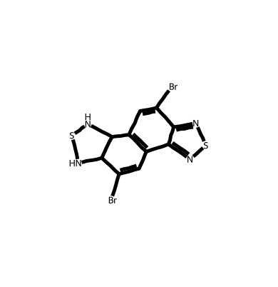 BrC1=Cc2c(cc(Br)c3nsnc23)C2NSNC12